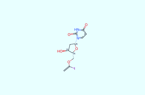 C=C(I)OC[C@H]1O[C@@H](n2ccc(=O)[nH]c2=O)C[C@@H]1O